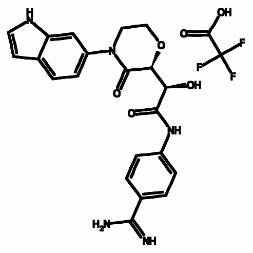 N=C(N)c1ccc(NC(=O)[C@H](O)[C@H]2OCCN(c3ccc4cc[nH]c4c3)C2=O)cc1.O=C(O)C(F)(F)F